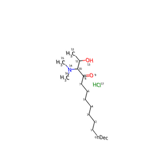 CCCCCCCCCCCCCCCCCC(=O)C(C(C)O)N(C)C.Cl